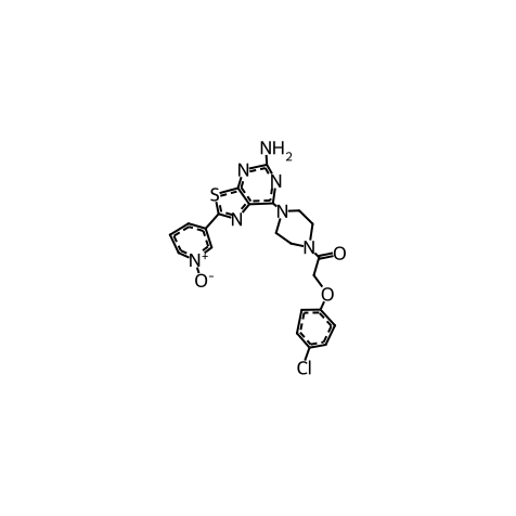 Nc1nc(N2CCN(C(=O)COc3ccc(Cl)cc3)CC2)c2nc(-c3ccc[n+]([O-])c3)sc2n1